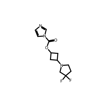 O=C(OC1CC(N2CCC(F)(F)C2)C1)n1ccnc1